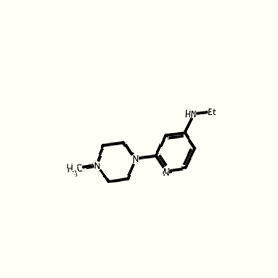 CCNc1ccnc(N2CCN(C)CC2)c1